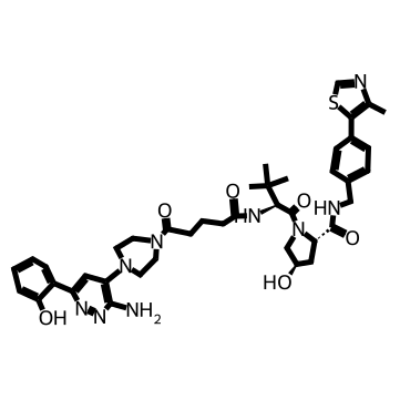 Cc1ncsc1-c1ccc(CNC(=O)[C@@H]2C[C@@H](O)CN2C(=O)[C@@H](NC(=O)CCCC(=O)N2CCN(c3cc(-c4ccccc4O)nnc3N)CC2)C(C)(C)C)cc1